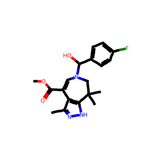 COC(=O)C1=CN(C(O)c2ccc(F)cc2)CC(C)(C)c2[nH]nc(C)c21